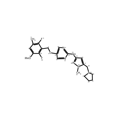 COc1cc(C)c(F)c(COc2cnc(Nc3cc(CN4CCCC4)n(C)n3)nc2)c1F